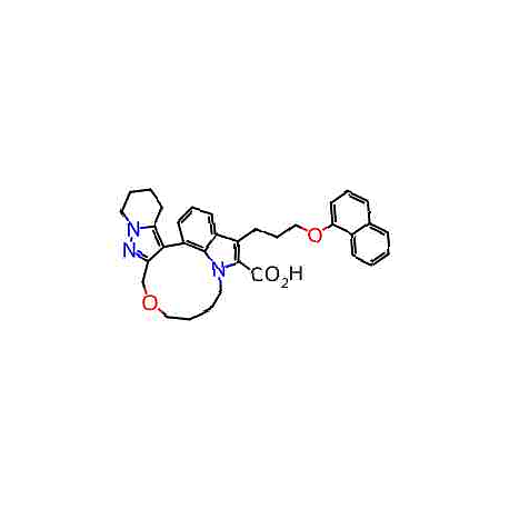 O=C(O)c1c(CCCOc2cccc3ccccc23)c2cccc3c2n1CCCCOCc1nn2c(c1-3)CCCC2